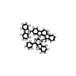 CC1(C)c2ccccc2-c2ccc3c4ccc(-n5c6ccccc6c6ccccc65)cc4n(-c4nc(-c5ccccc5)c5oc6ccccc6c5n4)c3c21